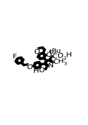 Cc1nc(CO)c(-c2ccc(OCCc3ccc(F)cc3)cc2)c(-c2ccc3c(c2)CCCO3)c1C(OC(C)(C)C)C(=O)O